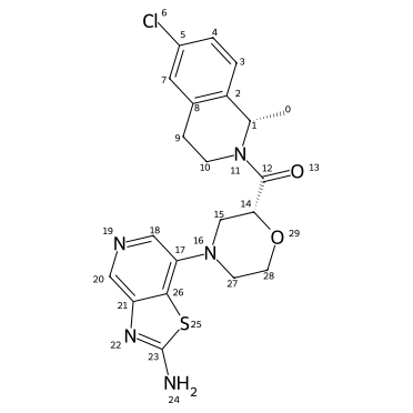 C[C@H]1c2ccc(Cl)cc2CCN1C(=O)[C@H]1CN(c2cncc3nc(N)sc23)CCO1